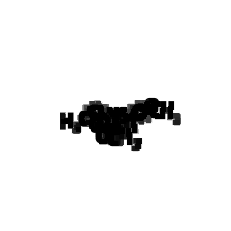 COc1ccc(CSC2=NC(c3cccc(C)c3)C(C(=O)O)=C(C)N2)cc1